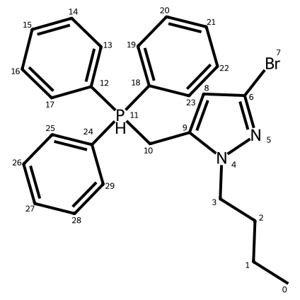 CCCCn1nc(Br)cc1C[PH](c1ccccc1)(c1ccccc1)c1ccccc1